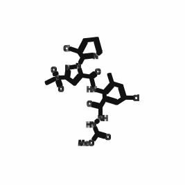 COC(=O)NNC(=O)c1cc(Cl)cc(C)c1NC(=O)c1cc(S(C)(=O)=O)nn1-c1ncccc1Cl